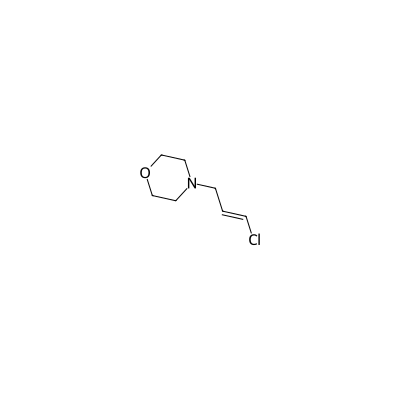 Cl/C=C/CN1CCOCC1